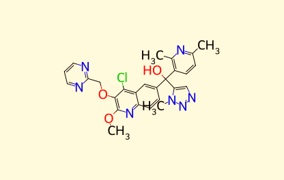 COc1nc2ccc(C(O)(c3ccc(C)nc3C)c3cnnn3C)cc2c(Cl)c1OCc1ncccn1